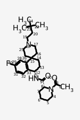 CC(=O)N1CCCC[C@@H]1C(=O)N[C@H]1CCC2(CCN(CCC(C)(C)C)CC2)c2cc(F)ccc21